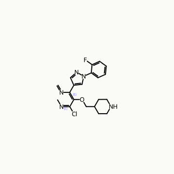 C=N/C(=C(OCC1CCNCC1)\C(Cl)=N/C)c1cnn(-c2ccccc2F)c1